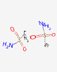 CC(C)S(N)(=O)=O.CS(N)(=O)=O